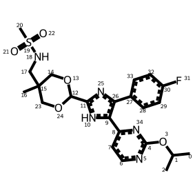 CC(C)Oc1nccc(-c2[nH]c(C3OCC(C)(CNS(C)(=O)=O)CO3)nc2-c2ccc(F)cc2)n1